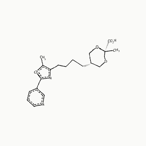 Cc1oc(-c2cccnc2)nc1CCCC[C@H]1CO[C@@](C)(C(=O)O)OC1